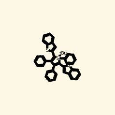 CC(C)(C)[Si]1(c2ccccc2)C(c2cc3ccccc3s2)=C(c2ccccc2)C(c2ccccc2)=C1c1cc2ccccc2s1